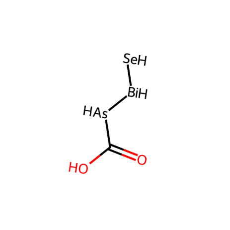 O=C(O)[AsH][BiH][SeH]